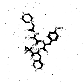 COc1ccc(CC(NC(=O)C(C)NC(=O)CN2CCOCC2)C(=O)NC(CC2=CCOCC2)C(=O)C2(C)CO2)cc1